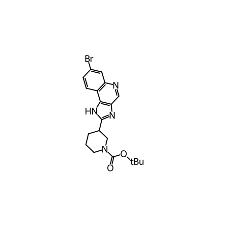 CC(C)(C)OC(=O)N1CCCC(c2nc3cnc4cc(Br)ccc4c3[nH]2)C1